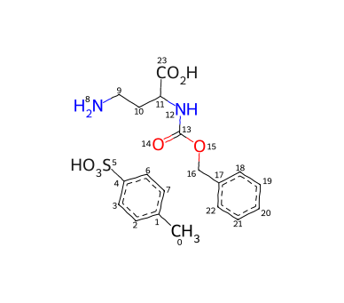 Cc1ccc(S(=O)(=O)O)cc1.NCCC(NC(=O)OCc1ccccc1)C(=O)O